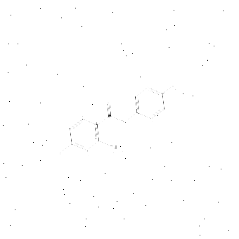 CCc1ccc(NC(=O)c2ccc(C)nc2N)cc1